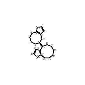 c1cc2c(s1)CCCC/C(=C1/CCCCCCc3sccc31)C2